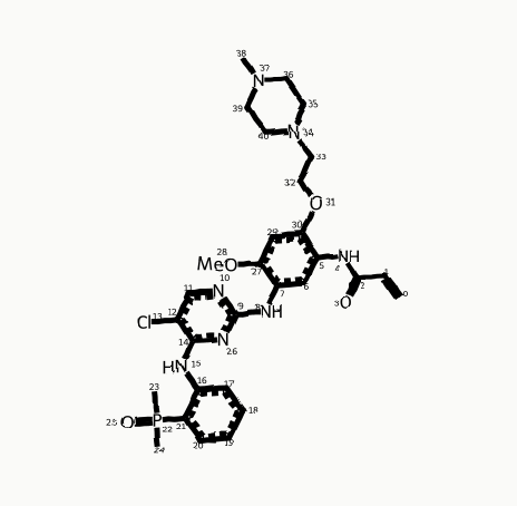 C=CC(=O)Nc1cc(Nc2ncc(Cl)c(Nc3ccccc3P(C)(C)=O)n2)c(OC)cc1OCCN1CCN(C)CC1